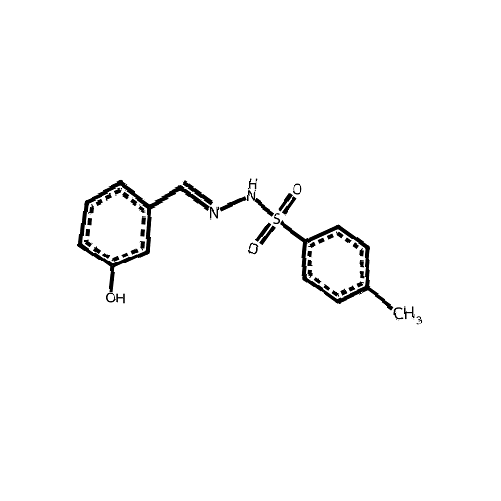 Cc1ccc(S(=O)(=O)N/N=C/c2cccc(O)c2)cc1